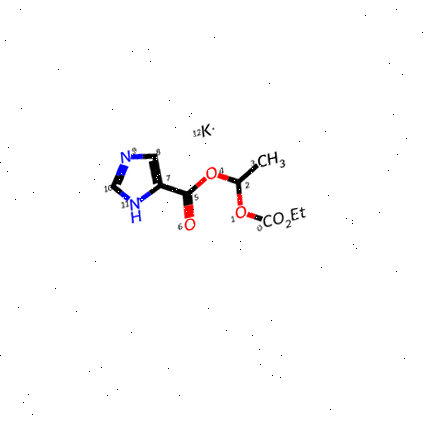 CCOC(=O)OC(C)OC(=O)c1cnc[nH]1.[K]